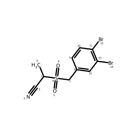 CC(C#N)S(=O)(=O)Cc1ccc(Br)c(Br)c1